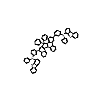 c1ccc(N(c2cccc(-c3ccc4c5c(c6ccccc6c4c3)-c3c(cc(-c4cccc(N(c6ccccc6)c6cccc7c6sc6ccccc67)c4)c4ccccc34)C5(c3ccccc3)c3ccccc3)c2)c2cccc3c2sc2ccccc23)cc1